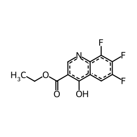 CCOC(=O)c1cnc2c(F)c(F)c(F)cc2c1O